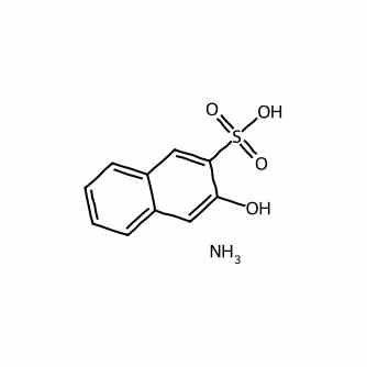 N.O=S(=O)(O)c1cc2ccccc2cc1O